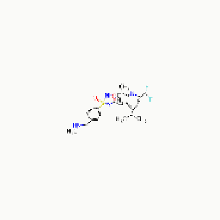 CNCc1ccc(S(N)(=O)=NC(=O)Cc2c(C(C)C)cc(C(F)F)nc2C(C)C)cc1